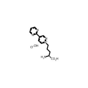 Cl.N[C@@H](CCC[n+]1ccc(-c2ncccn2)cn1)C(=O)O.[Cl-]